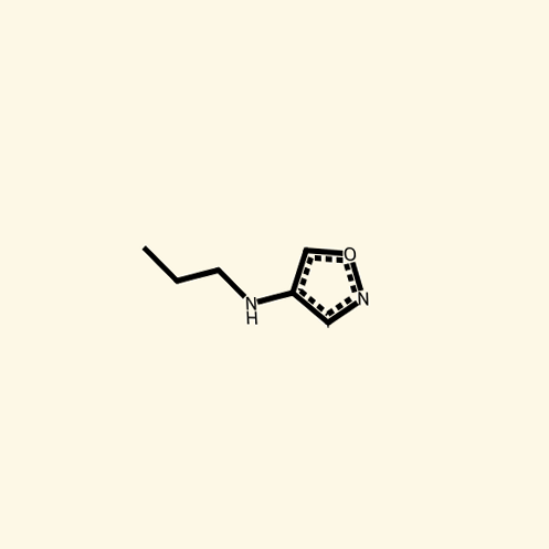 CCCNc1[c]noc1